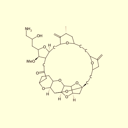 C=C1CC2CC[C@@]34C[C@H]5O[C@@H]6C(OC7CCC(CC(=O)CC8[C@@H](OC)C(CC(O)CN)O[C@H]8CC8OC(CCC1O2)C[C@@H](C)C8=C)O[C@@H]7C6O3)C5O4